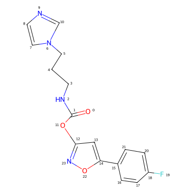 O=C(NCCCn1ccnc1)Oc1cc(-c2ccc(F)cc2)on1